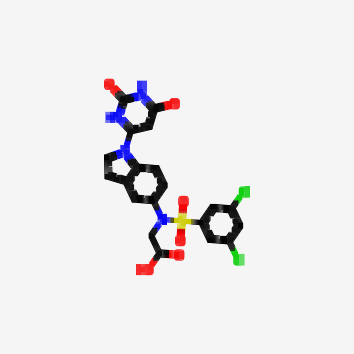 O=C(O)CN(c1ccc2c(ccn2-c2cc(=O)[nH]c(=O)[nH]2)c1)S(=O)(=O)c1cc(Cl)cc(Cl)c1